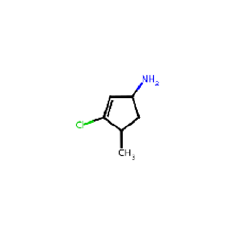 CC1CC(N)C=C1Cl